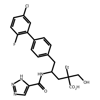 CCC(CO)(CC(Cc1ccc(-c2cc(Cl)ccc2F)cc1)NC(=O)c1cnn[nH]1)C(=O)O